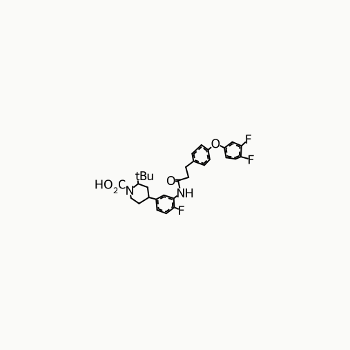 CC(C)(C)C1CC(c2ccc(F)c(NC(=O)CCc3ccc(Oc4ccc(F)c(F)c4)cc3)c2)CCN1C(=O)O